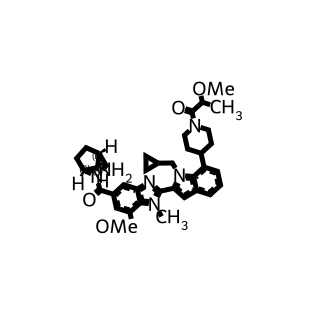 COc1cc(C(=O)N2C[C@H]3CC[C@@H]2[C@@H]3N)cc2nc(-c3cc4cccc(C5CCN(C(=O)C(C)OC)CC5)c4n3CC3CC3)n(C)c12